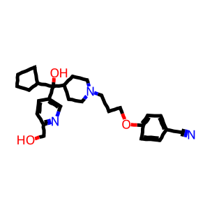 N#Cc1ccc(OCCCN2CCC(C(O)(c3ccc(CO)nc3)C3CCCC3)CC2)cc1